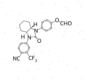 N#Cc1ccc(N2C(=O)N(c3ccc(OC=O)cc3)[C@H]3CCCC[C@@H]32)cc1C(F)(F)F